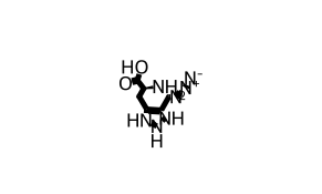 [N-]=[N+]=NCC1=C(C[C@H](N)C(=O)O)NNN1